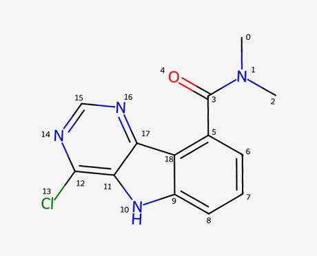 CN(C)C(=O)c1cccc2[nH]c3c(Cl)ncnc3c12